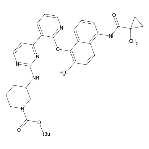 Cc1ccc2c(NC(=O)C3(C)CC3)cccc2c1Oc1ncccc1-c1ccnc(NC2CCCN(C(=O)OC(C)(C)C)C2)n1